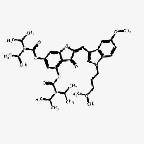 COc1ccc2c(c1)c(C=C1Oc3cc(OC(=O)N(C(C)C)C(C)C)cc(OC(=O)N(C(C)C)C(C)C)c3C1=O)cn2CCCN(C)C